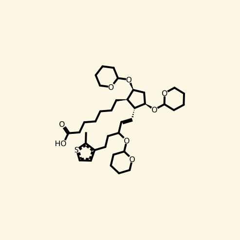 Cc1sccc1CCC(C=C[C@@H]1[C@@H](CCCCCCC(=O)O)[C@@H](OC2CCCCO2)C[C@H]1OC1CCCCO1)OC1CCCCO1